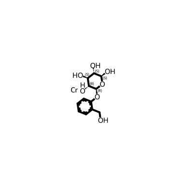 OCc1ccccc1O[C@@H]1O[C@H](O)[C@@H](O)[C@H](O)[C@H]1O.[Cr]